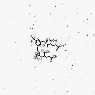 C=CCC(CC(CCC(=O)O)C(=O)O)P(=O)(O)O.CC(C(CCC(=O)O)C(=O)O)P(=O)(O)Cc1cccc(C(F)(F)F)c1